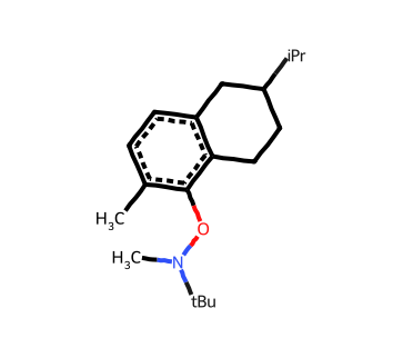 Cc1ccc2c(c1ON(C)C(C)(C)C)CCC(C(C)C)C2